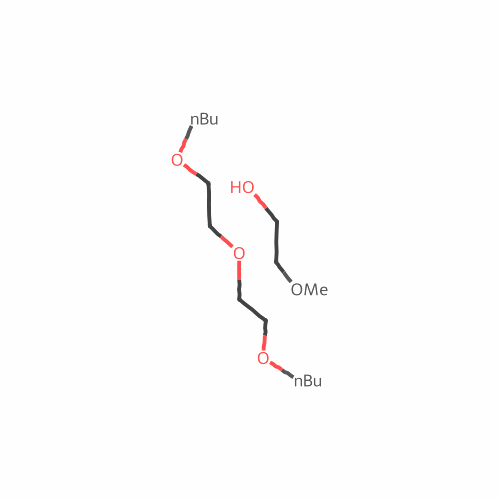 CCCCOCCOCCOCCCC.COCCO